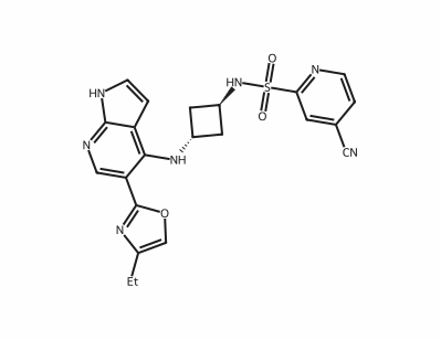 CCc1coc(-c2cnc3[nH]ccc3c2N[C@H]2C[C@H](NS(=O)(=O)c3cc(C#N)ccn3)C2)n1